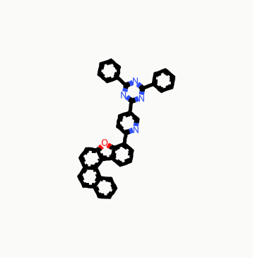 c1ccc(-c2nc(-c3ccccc3)nc(-c3ccc(-c4cccc5c4oc4ccc6ccc7ccccc7c6c45)nc3)n2)cc1